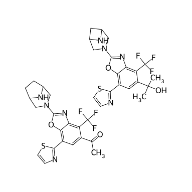 CC(=O)c1cc(-c2nccs2)c2oc(N3CC4CCC(C3)N4)nc2c1C(F)(F)F.CC(C)(O)c1cc(-c2nccs2)c2oc(N3CC4CC(C3)N4)nc2c1C(F)(F)F